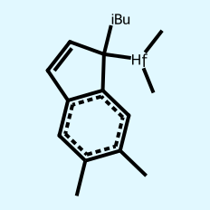 CCC(C)[C]1([Hf]([CH3])[CH3])C=Cc2cc(C)c(C)cc21